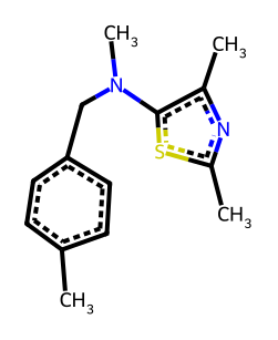 Cc1ccc(CN(C)c2sc(C)nc2C)cc1